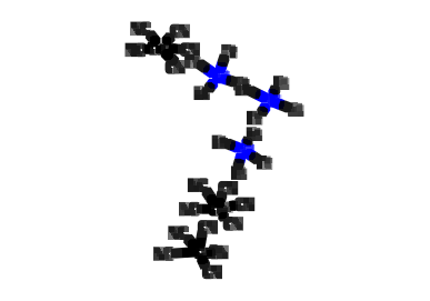 CC[N+](CC)(CC)CC.CC[N+](CC)(CC)CC.CC[N+](CC)(CC)CC.N#[C][Co-2]([C]#N)([C]#N)([C]#N)[C]#N.N#[C][Co-2]([C]#N)([C]#N)([C]#N)[C]#N.N#[C][Co-2]([C]#N)([C]#N)([C]#N)[C]#N